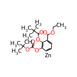 CCOC(=O)c1cccc(OC(=O)OC(C)(C)C)c1OC(=O)C(C)(C)C.[Zn]